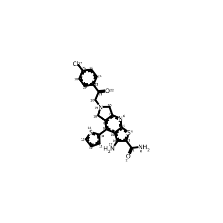 NC(=O)c1sc2nc3c(c(-c4cccs4)c2c1N)CN(CC(=O)c1ccc(Cl)cc1)C3